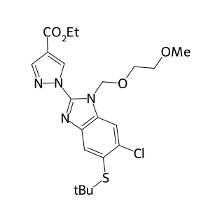 CCOC(=O)c1cnn(-c2nc3cc(SC(C)(C)C)c(Cl)cc3n2COCCOC)c1